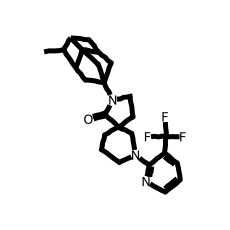 CC1C2CC3CC1CC(N1CCC4(CCCN(c5ncccc5C(F)(F)F)C4)C1=O)(C3)C2